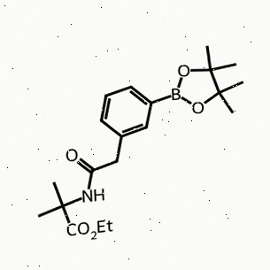 CCOC(=O)C(C)(C)NC(=O)Cc1cccc(B2OC(C)(C)C(C)(C)O2)c1